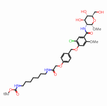 COc1cc(OCc2ccc(OCC(=O)NCCCCCCCNC(=O)OC(C)(C)C)cc2)c(Cl)cc1C(=O)N[C@H]1[C@@H](OC)O[C@H](CO)[C@@H](O)[C@@H]1O